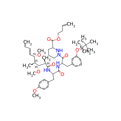 C=CC=C[C@H](OC)[C@H](C)[C@@H](OC)[C@@H](C)C(=O)NC(Cc1ccc(OC)cc1)C(=O)NC(Cc1cccc(O[Si](C)(C)C(C)(C)C)c1)C(=O)N1CCCC(C(=O)OCCC=C)N1